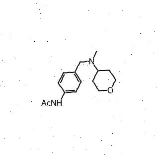 CC(=O)Nc1ccc(CN(C)C2CCOCC2)cc1